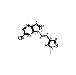 Clc1cnc2cnn(CCc3cn[nH]c3)c2n1